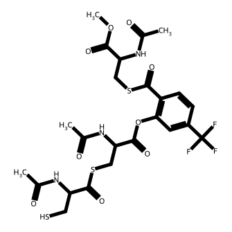 COC(=O)C(CSC(=O)c1ccc(C(F)(F)F)cc1OC(=O)C(CSC(=O)C(CS)NC(C)=O)NC(C)=O)NC(C)=O